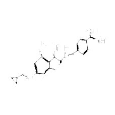 CCOC(C(=O)NCc1ccc(C(=N)N)cc1)c1c(F)cc(OCC2CC2)cc1F.Cl